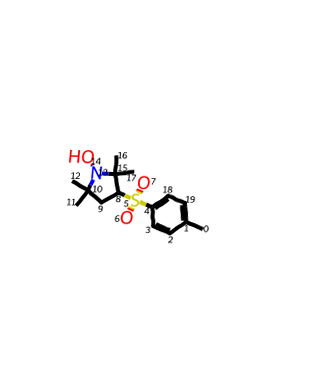 Cc1ccc(S(=O)(=O)C2CC(C)(C)N(O)C2(C)C)cc1